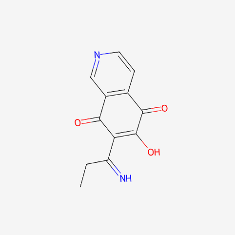 CCC(=N)C1=C(O)C(=O)c2ccncc2C1=O